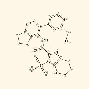 COc1cc(-c2ccc3c(c2NC(=O)c2nn4c(c2S(=N)(N)=O)OCCC4)CCC3)ccn1